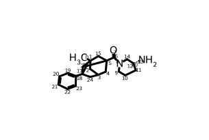 CC12CC3CC(C(=O)N4CCC[C@@H](N)C4)(C1)CC(c1ccccc1)(C3)C2